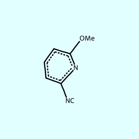 [C-]#[N+]c1cccc(OC)n1